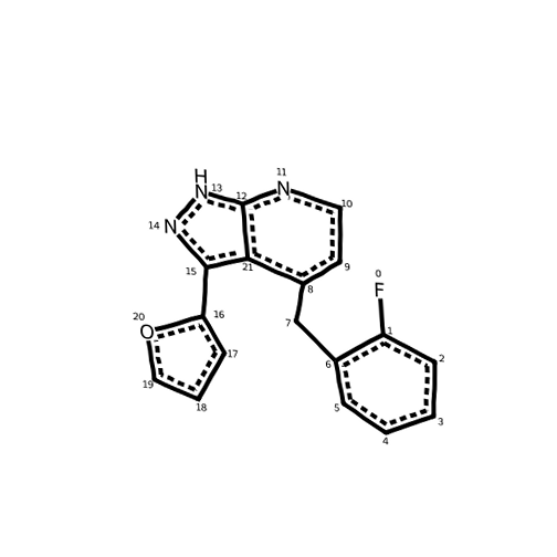 Fc1ccccc1Cc1ccnc2[nH]nc(-c3ccco3)c12